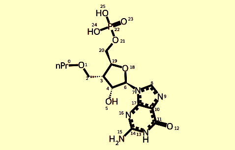 CCCOC[C@H]1[C@@H](O)[C@H](n2cnc3c(=O)[nH]c(N)nc32)O[C@@H]1COP(=O)(O)O